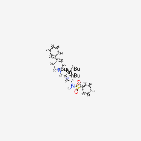 CCC[CH2][Sn]([CH2]CCC)([CH2]CCC)/[C](=C\CN(C)S(=O)(=O)c1ccccc1)CN1CCC(c2ccccc2)CC1